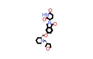 O=C1CCC(N2Cc3cc(OC[C@H]4CCCCN4C[C@@H]4CCOC4)ccc3C2=O)C(=O)N1